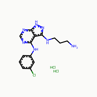 Cl.Cl.NCCCNc1n[nH]c2ncnc(Nc3cccc(Cl)c3)c12